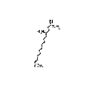 CCCCCCCCCCCCCCCCCCCCC(N)CCC(N)CC